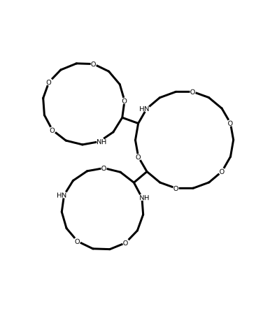 C1COCCOCCNC(C2COCCOCCOCCOCCNC(C3CNCCOCCOCCOCCO3)CO2)COCCN1